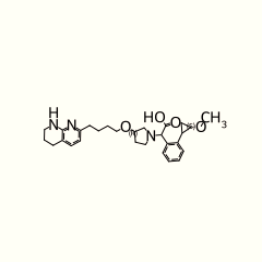 CO[C@H]1CC1c1ccccc1C(C(=O)O)N1CC[C@@H](OCCCCc2ccc3c(n2)NCCC3)C1